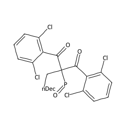 CCCCCCCCCCCC(P=O)(C(=O)c1c(Cl)cccc1Cl)C(=O)c1c(Cl)cccc1Cl